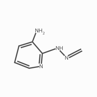 C=NNc1ncccc1N